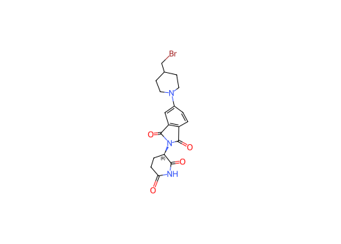 O=C1CC[C@@H](N2C(=O)c3ccc(N4CCC(CBr)CC4)cc3C2=O)C(=O)N1